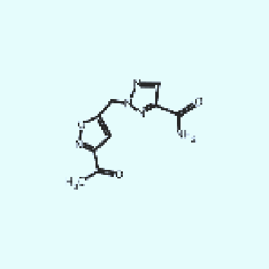 CC(=O)c1cc(Cn2ncc(C(N)=O)n2)on1